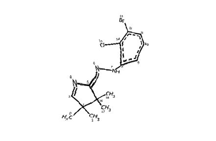 CC1(C)C=N/C(=N/Nc2cccc(Br)c2Cl)C1(C)C